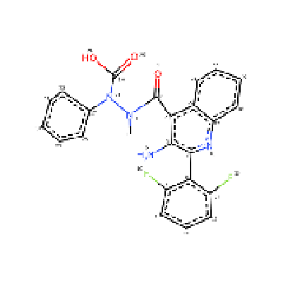 CN(C(=O)c1c(N)c(-c2c(F)cccc2F)nc2ccccc12)N(C(=O)O)c1ccccc1